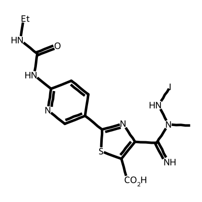 CCNC(=O)Nc1ccc(-c2nc(C(=N)N(C)NI)c(C(=O)O)s2)cn1